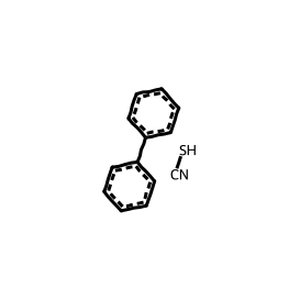 N#CS.c1ccc(-c2ccccc2)cc1